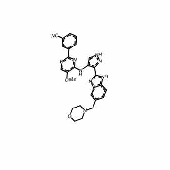 COc1cnc(-c2cccc(C#N)c2)nc1Nc1c[nH]nc1-c1nc2cc(CN3CCOCC3)ccc2[nH]1